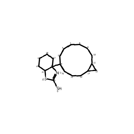 SC1=NC2(C3CCCCCCC4CC4CCC3)CCCCC2S1